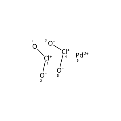 [O-][Cl+][O-].[O-][Cl+][O-].[Pd+2]